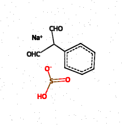 O=CC(C=O)c1ccccc1.O=S([O-])O.[Na+]